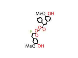 COc1cc(/C=C(/F)C(=O)OCOC(=O)/C(=C/c2ccc(O)c(OC)c2)c2ccccc2)ccc1O